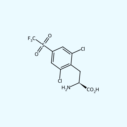 N[C@@H](Cc1c(Cl)cc(S(=O)(=O)C(F)(F)F)cc1Cl)C(=O)O